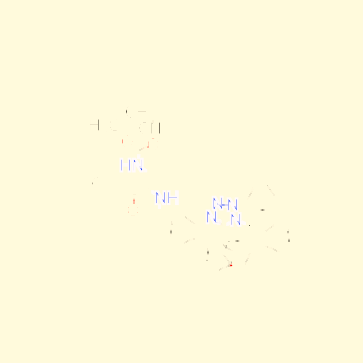 CCCC(=O)C(CNC(=O)OC(C)(C)C)NCc1ccc(-c2ccccc2-c2nnnn2C(c2ccccc2)(c2ccccc2)c2ccccc2)cc1